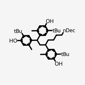 CCCCCCCCCCCCCCC(CC(c1cc(C(C)(C)C)c(O)cc1C)c1cc(C(C)(C)C)c(O)cc1C)c1cc(C(C)(C)C)c(O)cc1C